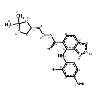 CSc1ccc(Nc2c(C(=O)NOC[C@H]3COC(C)(C)O3)ccc3cnsc23)c(F)c1